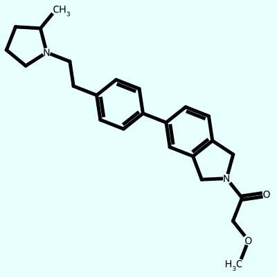 COCC(=O)N1Cc2ccc(-c3ccc(CCN4CCCC4C)cc3)cc2C1